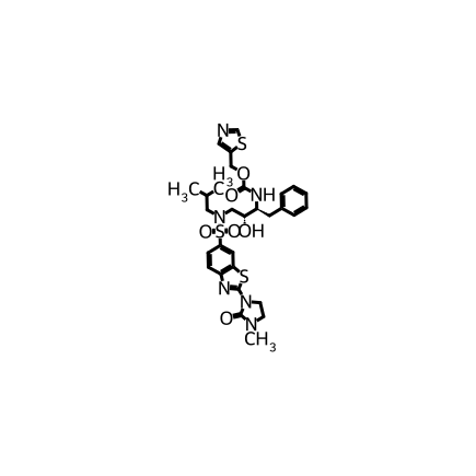 CC(C)CN(C[C@@H](O)[C@H](Cc1ccccc1)NC(=O)OCc1cncs1)S(=O)(=O)c1ccc2nc(N3CCN(C)C3=O)sc2c1